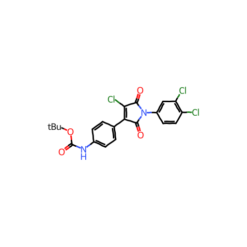 CC(C)(C)OC(=O)Nc1ccc(C2=C(Cl)C(=O)N(c3ccc(Cl)c(Cl)c3)C2=O)cc1